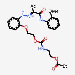 CCC(=O)OCCNC(=O)OCCOc1ccccc1N/N=C(\C(C)=O)C(=O)Nc1ccccc1OC